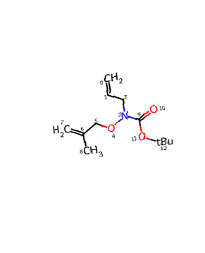 C=CCN(OCC(=C)C)C(=O)OC(C)(C)C